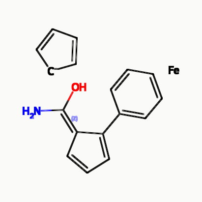 N/C(O)=C1\C=CC=C1c1ccccc1.[Fe].c1cc[cH-]c1